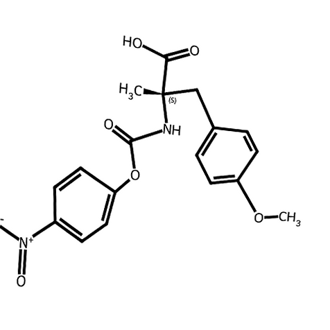 COc1ccc(C[C@](C)(NC(=O)Oc2ccc([N+](=O)[O-])cc2)C(=O)O)cc1